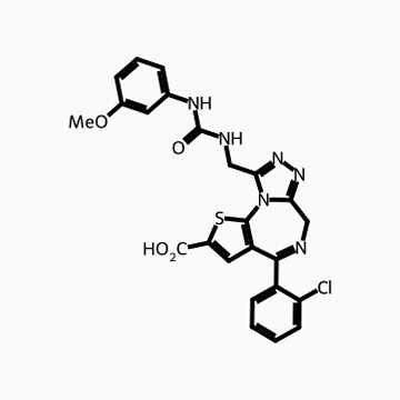 COc1cccc(NC(=O)NCc2nnc3n2-c2sc(C(=O)O)cc2C(c2ccccc2Cl)=NC3)c1